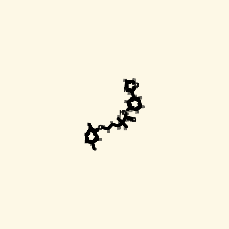 Cc1ccc(C)c(OCCCC(C)(C)C(=O)Nc2cccc(-c3ncco3)c2)c1